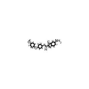 COc1ccc(Oc2ccc(CNc3nc4ccc(N)cc4n3C)cc2)nc1